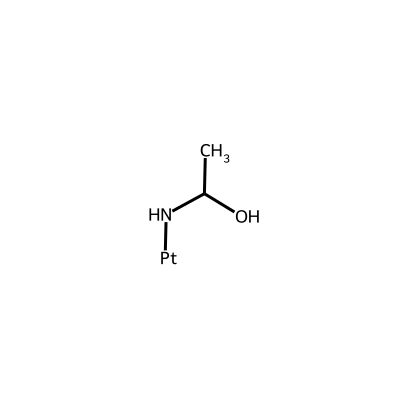 CC(O)[NH][Pt]